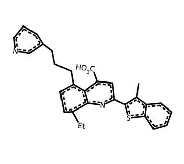 CCc1ccc(CCCc2cccnc2)c2c(C(=O)O)cc(-c3sc4ccccc4c3C)nc12